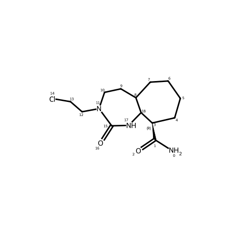 NC(=O)[C@@H]1CCCCC2CCN(CCCl)C(=O)NC21